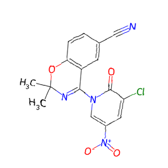 CC1(C)N=C(n2cc([N+](=O)[O-])cc(Cl)c2=O)c2cc(C#N)ccc2O1